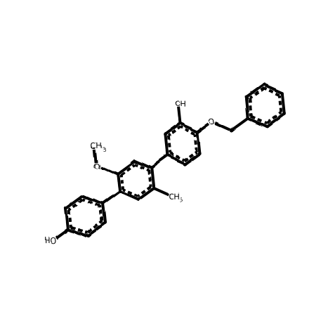 COc1cc(-c2ccc(OCc3ccccc3)c(O)c2)c(C)cc1-c1ccc(O)cc1